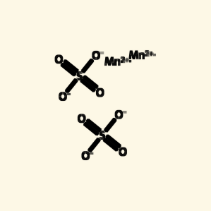 O=S(=O)([O-])[O-].O=S(=O)([O-])[O-].[Mn+2].[Mn+2]